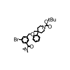 CN(C)C(=O)c1cc(Br)cc(COCC2(c3ccccc3)CCN(C(=O)OC(C)(C)C)CC2)c1